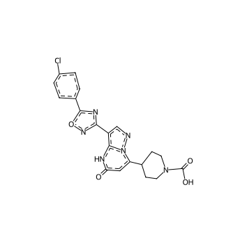 O=C(O)N1CCC(c2cc(=O)[nH]c3c(-c4noc(-c5ccc(Cl)cc5)n4)cnn23)CC1